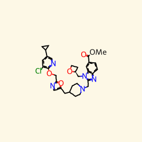 COC(=O)c1ccc2nc(CN3CCC(Cc4cnc(COc5ncc(C6CC6)cc5Cl)o4)CC3)n(C[C@@H]3CCO3)c2c1